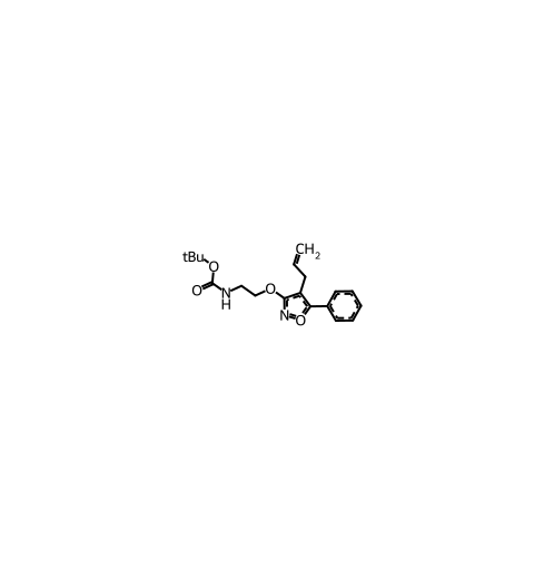 C=CCc1c(OCCNC(=O)OC(C)(C)C)noc1-c1ccccc1